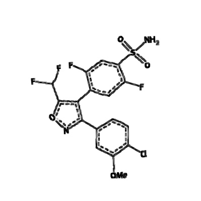 COc1cc(-c2noc(C(F)F)c2-c2cc(F)c(S(N)(=O)=O)cc2F)ccc1Cl